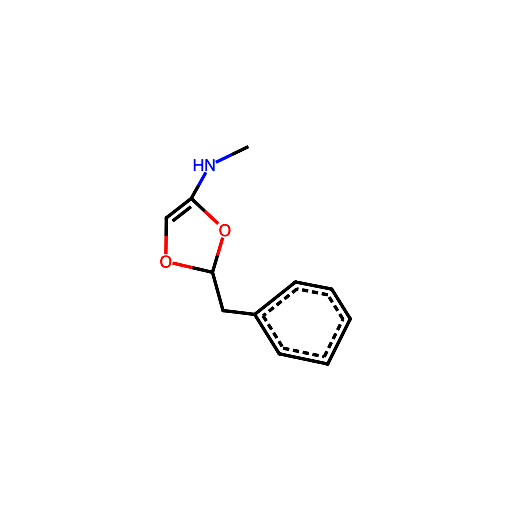 CNC1=COC(Cc2ccccc2)O1